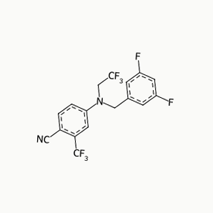 N#Cc1ccc(N(Cc2cc(F)cc(F)c2)CC(F)(F)F)cc1C(F)(F)F